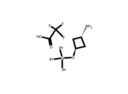 CC(C)[Si](O[C@H]1C[C@H](N)C1)(C(C)C)C(C)C.O=C(O)C(F)(F)F